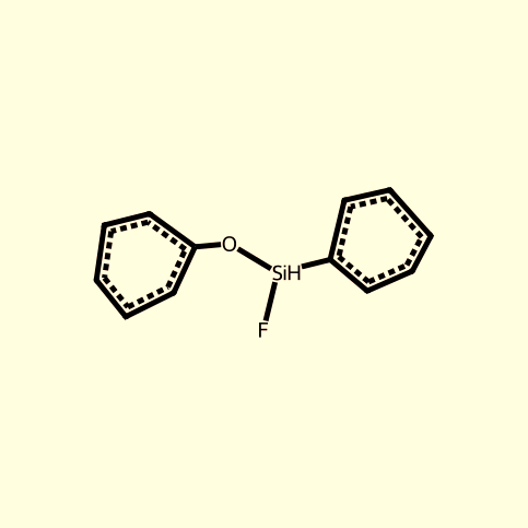 F[SiH](Oc1ccccc1)c1ccccc1